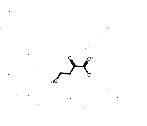 C=C(Cl)C(=O)CCO